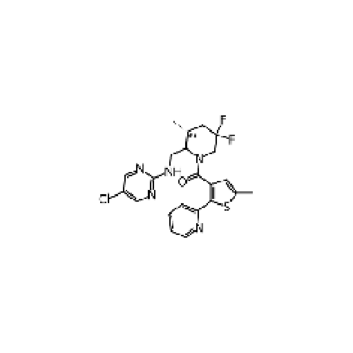 Cc1cc(C(=O)N2CC(F)(F)C[C@@H](C)C2CNc2ncc(Cl)cn2)c(-c2ccccn2)s1